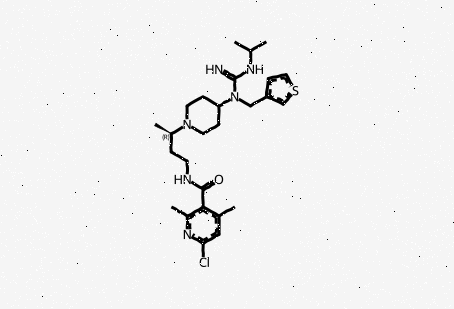 Cc1cc(Cl)nc(C)c1C(=O)NCC[C@@H](C)N1CCC(N(Cc2ccsc2)C(=N)NC(C)C)CC1